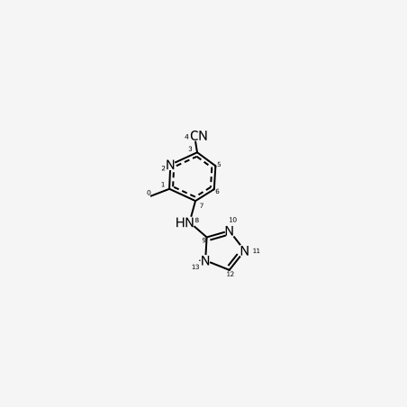 Cc1nc(C#N)ccc1NC1=NN=C[N]1